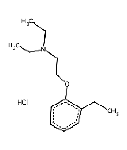 CCc1ccccc1OCCN(CC)CC.Cl